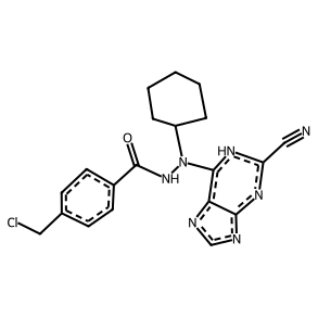 N#Cc1nc2ncnc-2c(N(NC(=O)c2ccc(CCl)cc2)C2CCCCC2)[nH]1